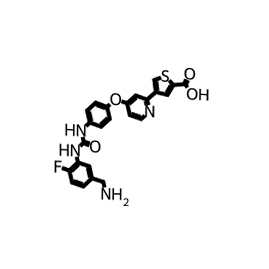 NCc1ccc(F)c(NC(=O)Nc2ccc(Oc3ccnc(-c4csc(C(=O)O)c4)c3)cc2)c1